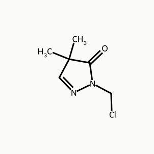 CC1(C)C=NN(CCl)C1=O